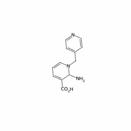 NC1C(C(=O)O)=CC=CN1Cc1ccncc1